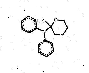 [SiH3]C1(N(c2ccccc2)c2ccccc2)CCCCO1